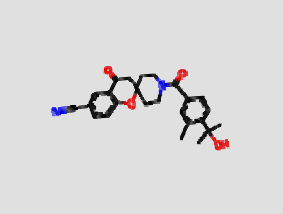 Cc1cc(C(=O)N2CCC3(CC2)CC(=O)c2cc(C#N)ccc2O3)ccc1C(C)(C)O